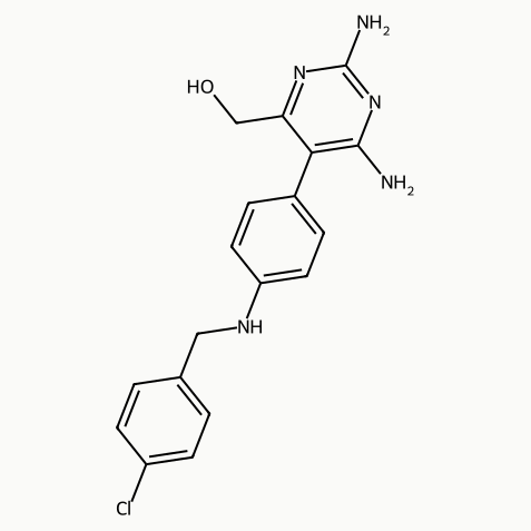 Nc1nc(N)c(-c2ccc(NCc3ccc(Cl)cc3)cc2)c(CO)n1